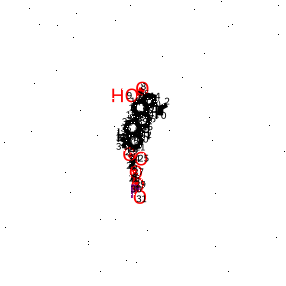 C=C(C)[C@@H]1CC[C@]2(C(=O)O)CC[C@]3(C)[C@H](CC[C@@H]4[C@@]5(C)CC[C@H](OC(=O)COCOP=O)C(C)(C)[C@@H]5CC[C@]43C)[C@@H]12